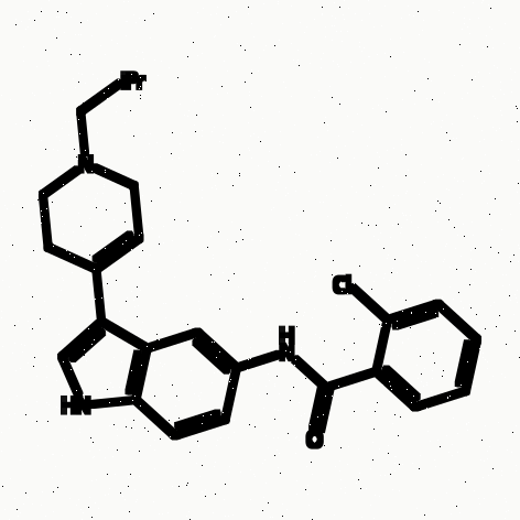 CC(C)CN1CC=C(c2c[nH]c3ccc(NC(=O)c4ccccc4Cl)cc23)CC1